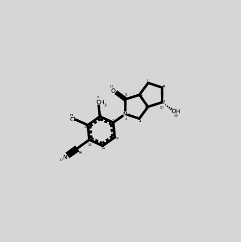 Cc1c(N2CC3C(CC[C@@H]3O)C2=O)ccc(C#N)c1Cl